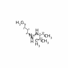 CCCCCN1NC1NC(CC)C(C)C